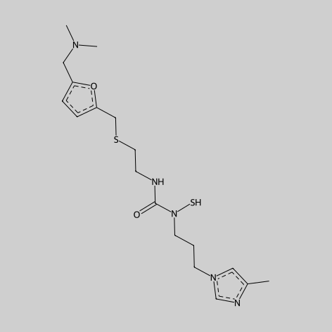 Cc1cn(CCCN(S)C(=O)NCCSCc2ccc(CN(C)C)o2)cn1